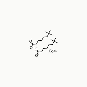 CC(C)(C)CCCCCC(=O)[O-].CC(C)(C)CCCCCC(=O)[O-].[Co+2]